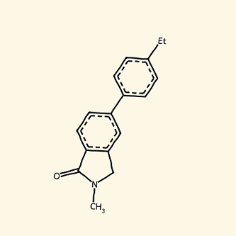 CCc1ccc(-c2ccc3c(c2)CN(C)C3=O)cc1